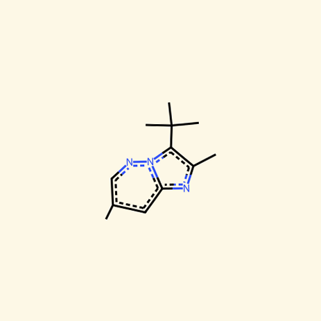 Cc1cnn2c(C(C)(C)C)c(C)nc2c1